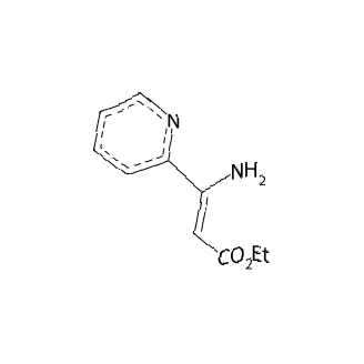 CCOC(=O)/C=C(\N)c1ccccn1